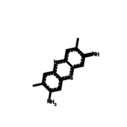 Cc1cc2nc3cc(C)c(=N)cc-3sc2cc1N